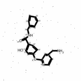 Cl.NCc1ccnc(Oc2ccc(C(=O)NCc3ccccc3)cc2)c1